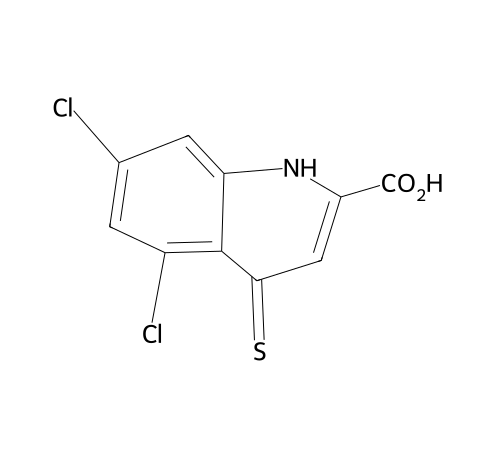 O=C(O)c1cc(=S)c2c(Cl)cc(Cl)cc2[nH]1